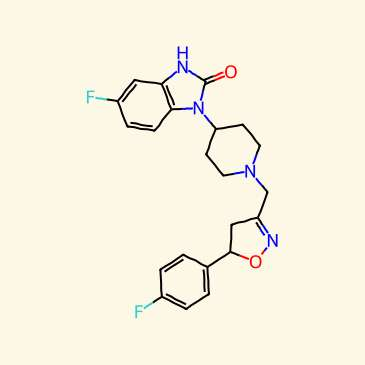 O=c1[nH]c2cc(F)ccc2n1C1CCN(CC2=NOC(c3ccc(F)cc3)C2)CC1